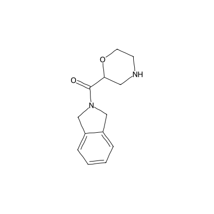 O=C(C1CNCCO1)N1Cc2ccccc2C1